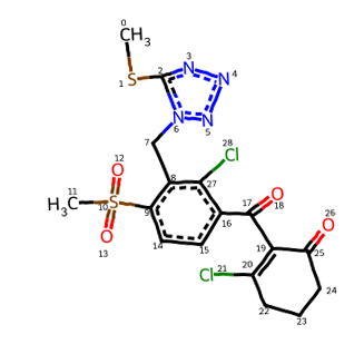 CSc1nnnn1Cc1c(S(C)(=O)=O)ccc(C(=O)C2=C(Cl)CCCC2=O)c1Cl